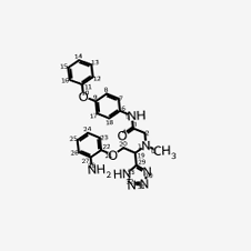 CN(CC(=O)Nc1ccc(Oc2ccccc2)cc1)C(COc1ccccc1N)c1nnn[nH]1